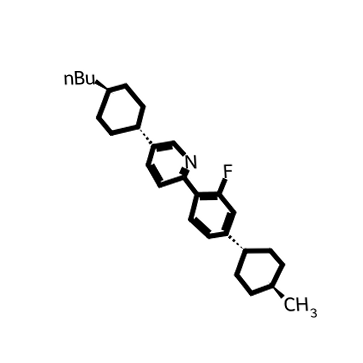 CCCC[C@H]1CC[C@H](c2ccc(-c3ccc([C@H]4CC[C@H](C)CC4)cc3F)nc2)CC1